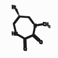 CC[C@H]1CNC(=O)C(=O)N(C)C1